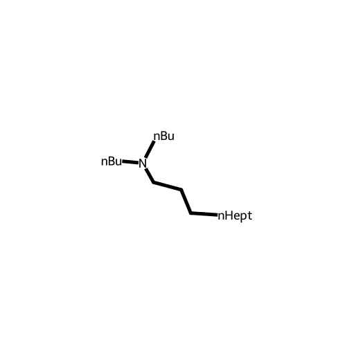 CCCCCCCCCCN(CCCC)CCCC